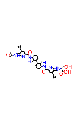 Cc1c(NC(=O)c2cc(C3CC3)c(CNC3COC3)cn2)cccc1-c1cccc(NC(=O)c2cc(C3CC3)c(CN[C@H](CO)C(=O)O)cn2)c1C